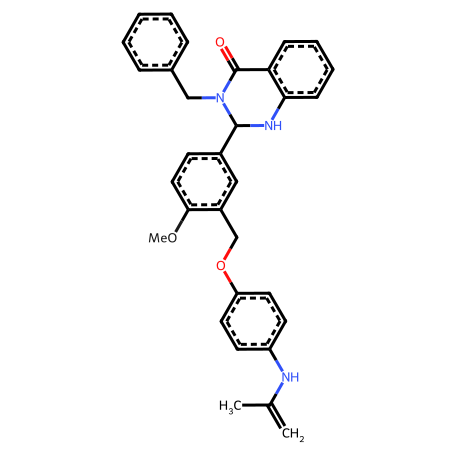 C=C(C)Nc1ccc(OCc2cc(C3Nc4ccccc4C(=O)N3Cc3ccccc3)ccc2OC)cc1